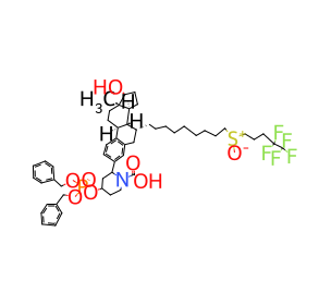 C[C@]12CC[C@@H]3c4ccc(C5CC(OP(=O)(OCc6ccccc6)OCc6ccccc6)CCN5C(=O)O)cc4C[C@@H](CCCCCCCCC[S+]([O-])CCCC(F)(F)C(F)(F)F)[C@H]3[C@@H]1CC[C@@H]2O